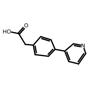 O=C(O)Cc1ccc(-c2c[c]cnc2)cc1